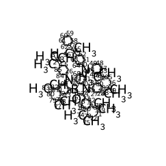 CC(C)(C)c1ccc(N2c3cc4c(cc3B3c5oc6cc7c(cc6c5N(c5ccc6c(c5)C(C)(C)CCC6(C)C)c5cc(N(c6ccccc6)c6ccc(C(C)(C)c8ccccc8)cc6)cc2c53)C(C)(C)CCC7(C)C)C(C)(C)CCC4(C)C)cc1